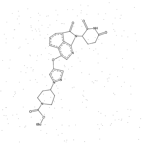 CC(C)(C)OC(=O)N1CCC(n2cc(Oc3cnc4c5c(cccc35)C(=O)N4C3CCC(=O)NC3=O)cn2)CC1